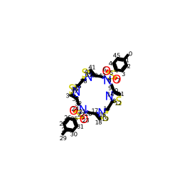 Cc1ccc(S(=O)(=O)N2Cc3csc(n3)-c3nc(cs3)CN(S(=O)(=O)c3ccc(C)cc3)Cc3csc(n3)-c3nc(cs3)C2)cc1